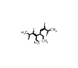 CC/C(=C(/F)C(C)F)C(/C=C(/F)C(C)F)CC